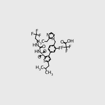 CCc1nccn1Cc1ccc(-c2cc(CC(C)C)sc2S(=O)(=O)NC(=O)NCCC(F)(F)F)cc1F.O=C(O)C(F)(F)F